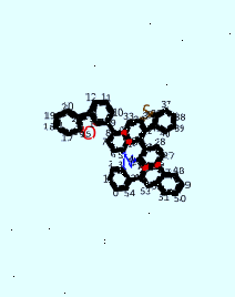 c1ccc(N(c2ccc(-c3cccc4c3oc3ccccc34)cc2)c2ccccc2-c2cccc3sc4ccccc4c23)c(-c2ccc3ccccc3c2)c1